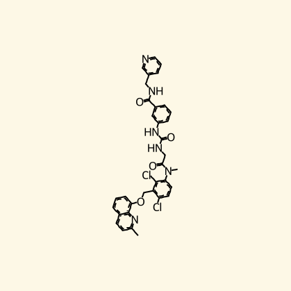 Cc1ccc2cccc(OCc3c(Cl)ccc(N(C)C(=O)CNC(=O)Nc4cccc(C(=O)NCc5cccnc5)c4)c3Cl)c2n1